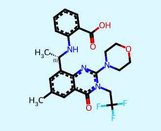 Cc1cc([C@H](C)Nc2ccccc2C(=O)O)c2nc(N3CCOCC3)n(CC(F)(F)F)c(=O)c2c1